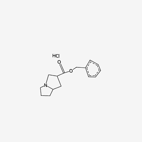 Cl.O=C(OCc1ccccc1)C1CC2CCCN2C1